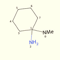 CNC1(N)CCCCC1